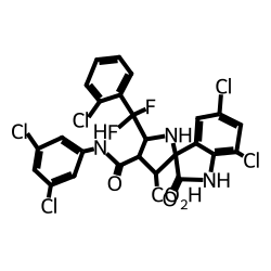 O=C(Nc1cc(Cl)cc(Cl)c1)C1C(C(F)(F)c2ccccc2Cl)NC2(C(=O)Nc3c(Cl)cc(Cl)cc32)C1C(=O)O